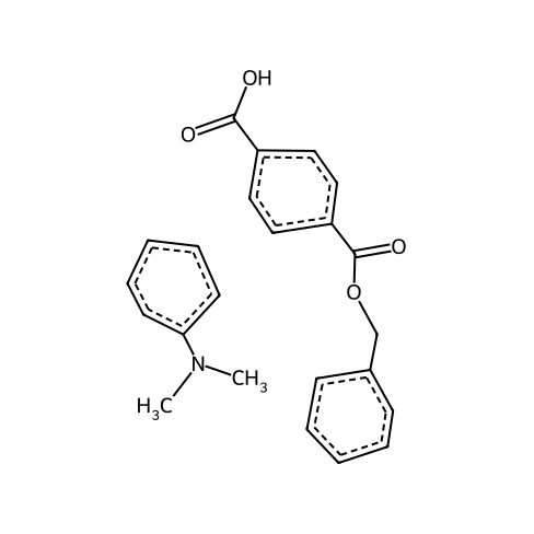 CN(C)c1ccccc1.O=C(O)c1ccc(C(=O)OCc2ccccc2)cc1